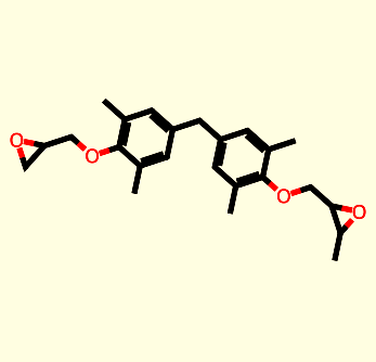 Cc1cc(Cc2cc(C)c(OCC3OC3C)c(C)c2)cc(C)c1OCC1CO1